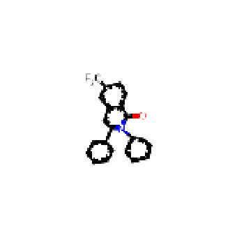 O=c1c2ccc(C(F)(F)F)cc2cc(-c2ccccc2)n1-c1ccccc1